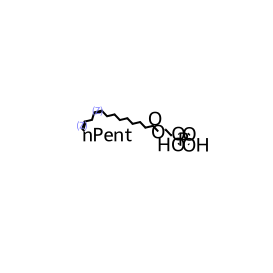 CCCCC/C=C\C/C=C\CCCCCCCC(=O)OCCOP(=O)(O)O